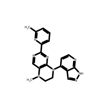 Cc1cccc(-c2ncc3c(n2)N(c2ccnc4[nH]ncc24)CCN3C)n1